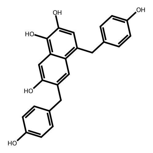 Oc1ccc(Cc2cc3c(Cc4ccc(O)cc4)cc(O)c(O)c3cc2O)cc1